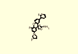 NC1=NC2(CO1)c1cc(-c3cccnc3F)ccc1Oc1c(F)cc(N3CC[C@H](F)C3)cc12